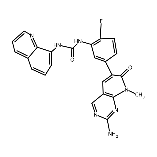 Cn1c(=O)c(-c2ccc(F)c(NC(=O)Nc3cccc4cccnc34)c2)cc2cnc(N)nc21